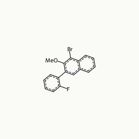 COc1c(-c2ccccc2F)cc2ccccc2c1Br